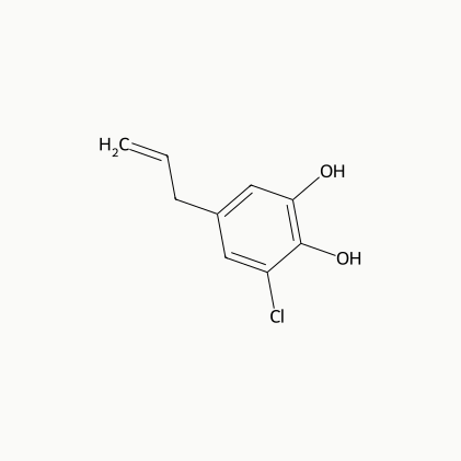 C=CCc1cc(O)c(O)c(Cl)c1